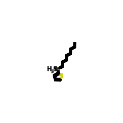 CCCCCCC[CH2][SnH2][c]1cccs1